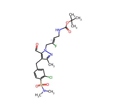 Cc1nn(C/C(F)=C/CNC(=O)OC(C)(C)C)c(C=O)c1Cc1ccc(S(=O)(=O)N(C)C)c(Cl)c1